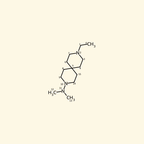 CCN1CCC2(CC1)CCN(N(C)C)CC2